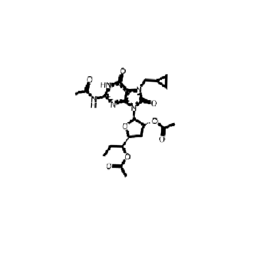 CCC(OC(C)=O)[C@@H]1C[C@@H](OC(C)=O)[C@H](n2c(=O)n(CC3CC3)c3c(=O)[nH]c(NC(C)=O)nc32)O1